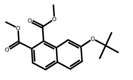 COC(=O)c1ccc2ccc(OC(C)(C)C)cc2c1C(=O)OC